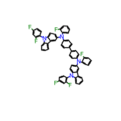 Fc1ccc(-n2c3ccccc3c3cc(N(c4ccc(-c5ccc(N(c6ccc7c(c6)c6ccccc6n7-c6ccc(F)cc6F)c6ccccc6F)cc5)cc4)c4ccccc4F)ccc32)c(F)c1